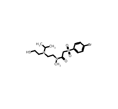 CC(C)N(CCS)CCN(C)C(=O)CS(=O)(=O)c1ccc(Br)cc1